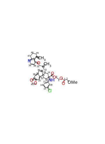 COCC(=O)OCCOC(=O)C1(Nc2cccc(Cl)c2)CCC2(CC1)c1cc3c(cc1C[C@@H]2C[C@@H](C)COc1ccnc2c1[C@H](C)CCC2)OCO3